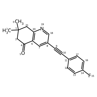 CC1(C)CC(=O)c2cc(C#Cc3ccc(F)cc3)cnc2C1